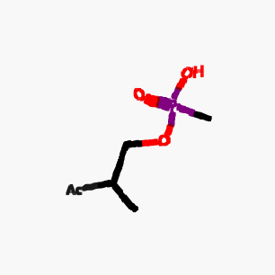 CC(=O)C(C)COP(C)(=O)O